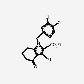 CCOC(=O)c1c(CC)c2c(n1Cc1ccc(Cl)c(Cl)c1)CCCC2=O